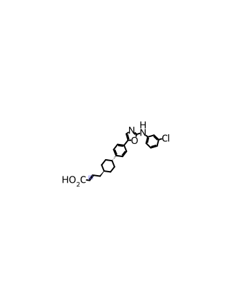 O=C(O)/C=C/C[C@H]1CC[C@H](c2ccc(-c3cnc(Nc4cccc(Cl)c4)o3)cc2)CC1